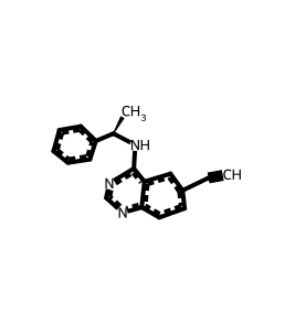 C#Cc1ccc2ncnc(N[C@H](C)c3ccccc3)c2c1